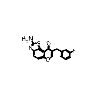 Nc1nc2ccc3occ(Cc4cccc(F)c4)c(=O)c3c2s1